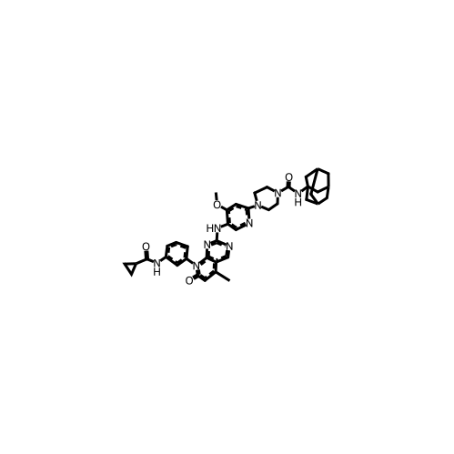 COc1cc(N2CCN(C(=O)NC34CC5CC(CC(C5)C3)C4)CC2)ncc1Nc1ncc2c(C)cc(=O)n(-c3cccc(NC(=O)C4CC4)c3)c2n1